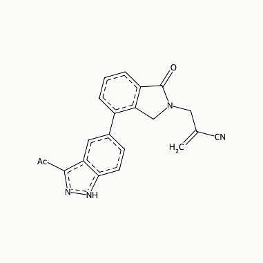 C=C(C#N)CN1Cc2c(cccc2-c2ccc3[nH]nc(C(C)=O)c3c2)C1=O